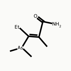 CC/C(=C(/C)C(N)=O)[As](C)C